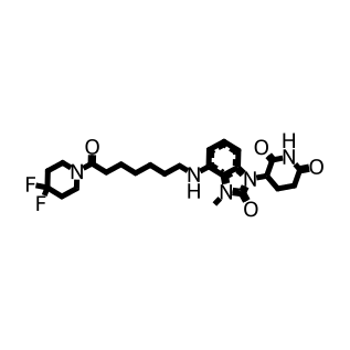 Cn1c(=O)n(C2CCC(=O)NC2=O)c2cccc(NCCCCCCC(=O)N3CCC(F)(F)CC3)c21